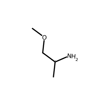 COC[C](C)N